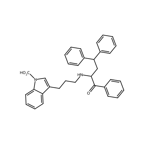 O=C(c1ccccc1)C(CC(c1ccccc1)c1ccccc1)NCCCc1cn(C(=O)O)c2ccccc12